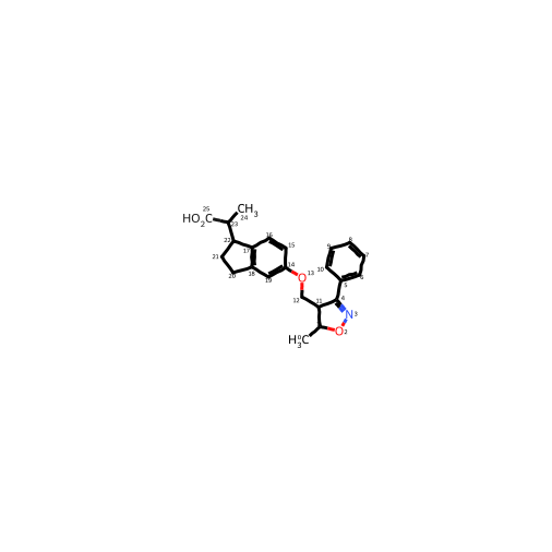 CC1ON=C(c2ccccc2)C1COc1ccc2c(c1)CCC2C(C)C(=O)O